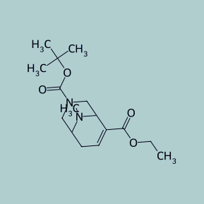 CCOC(=O)C1=CCC2CN(C(=O)OC(C)(C)C)CC1N2C